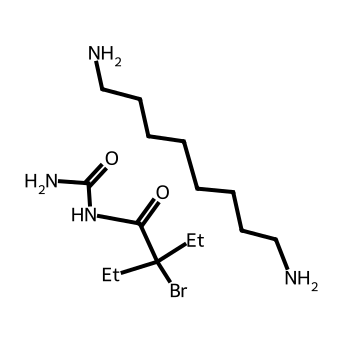 CCC(Br)(CC)C(=O)NC(N)=O.NCCCCCCCCN